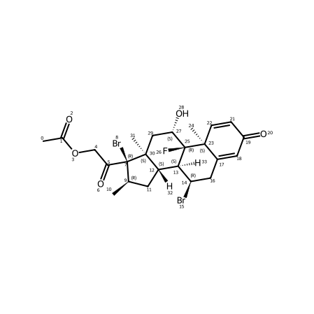 CC(=O)OCC(=O)[C@@]1(Br)[C@H](C)C[C@H]2[C@@H]3[C@H](Br)CC4=CC(=O)C=C[C@]4(C)[C@@]3(F)[C@@H](O)C[C@@]21C